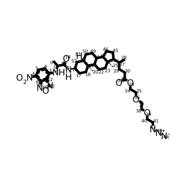 CC(Nc1ccc([N+](=O)[O-])c2nonc12)C(=O)N[C@@H]1CC[C@]2(C)C3CC[C@]4(C)C(C(C)CCC(=O)OCCOCCOCCN=[N+]=[N-])CCC4C3CC[C@@H]2C1